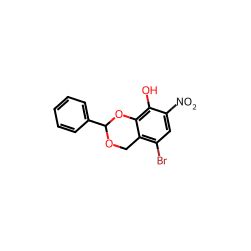 O=[N+]([O-])c1cc(Br)c2c(c1O)OC(c1ccccc1)OC2